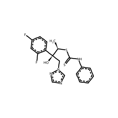 C[C@@H](SC(=S)Nc1ccccc1)[C@](O)(Cn1cncn1)c1ccc(F)cc1F